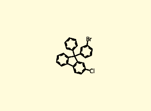 Clc1ccc2c(c1)C(c1ccccc1)(c1cccc(Br)c1)c1ccccc1-2